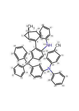 C[C@@]12CCC(c3cc([Si](c4ccccc4)(c4ccccc4)c4cccc(N(c5ccccc5)c5ccc(C#N)cc5)c4)ccc3Nc3ccccc3)=C1C2